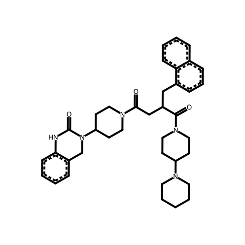 O=C(CC(Cc1cccc2ccccc12)C(=O)N1CCC(N2CCCCC2)CC1)N1CCC(N2Cc3ccccc3NC2=O)CC1